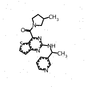 CC1CCN(C(=O)c2nc(NC(C)c3cccnc3)nc3ccsc23)C1